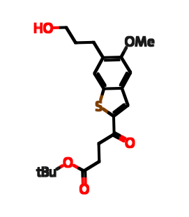 COc1cc2cc(C(=O)CCC(=O)OC(C)(C)C)sc2cc1CCCO